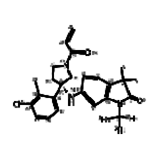 [2H]C([2H])([2H])N1C(=O)C(C)(C)c2ccc(N[C@]3(c4cccc(Cl)c4C)CCN(C(=O)C=C)C3)cc21